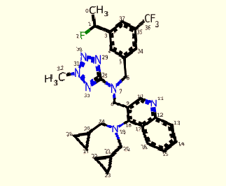 CC(F)c1cc(CN(Cc2cnc3ccccc3c2N(CC2CC2)CC2CC2)c2nnn(C)n2)cc(C(F)(F)F)c1